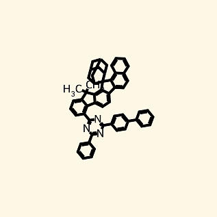 CC1(C)c2cccc(-c3nc(-c4ccccc4)nc(-c4ccc(-c5ccccc5)cc4)n3)c2-c2ccc3c(c21)C1(c2c-3ccc3ccccc23)C2CC3CC(C2)CC1C3